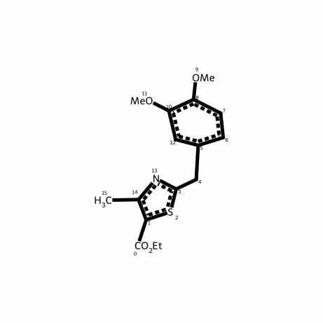 CCOC(=O)c1sc(Cc2ccc(OC)c(OC)c2)nc1C